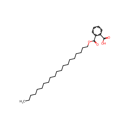 CCCCCCCCCCCCCCCCCCCCOC(=O)c1ccccc1C(=O)O